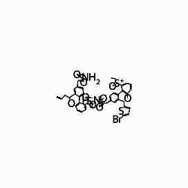 C=CCC1Oc2cccc(S(C)(=O)=O)c2-c2ccc(CS(N)(=O)=O)cc21.CC[S+]([O-])c1cccc2c1-c1ccc(CS(N)(=O)=O)cc1C(c1ccc(Br)s1)O2